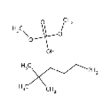 CC(C)(C)CCCP.COP(=O)(O)OC